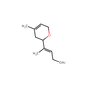 CC(=O)OCC=C(C)C1CC(C)=CCO1